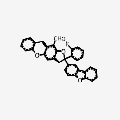 O=Cc1c2c(cc3c1=Cc1ccccc1O3)=CC(c1ccc3oc4ccccc4c3c1)(c1ccccc1F)O2